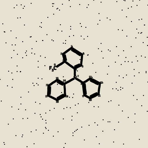 FC(F)(F)c1ccccc1N(c1ccccc1)c1ccccc1